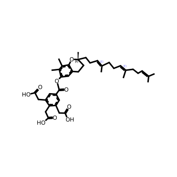 CC(C)=CCC/C(C)=C/CC/C(C)=C/CC[C@]1(C)CCc2cc(OC(=O)c3cc(CC(=O)O)c(CC(=O)O)c(CC(=O)O)c3)c(C)c(C)c2O1